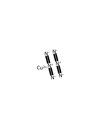 [Cu+2].[N-]=[N+]=[N-].[N-]=[N+]=[N-]